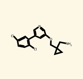 NCC1(COc2cncc(-c3cc(Cl)ccc3Cl)c2)CC1